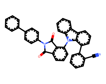 N#Cc1ccccc1-c1cccc2c3ccccc3n(-c3cccc4c3C(=O)N(c3ccc(-c5ccccc5)cc3)C4=O)c12